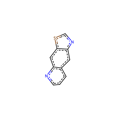 c1cnc2cc3scnc3cc2c1